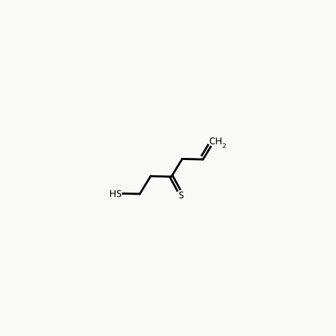 C=CCC(=S)CCS